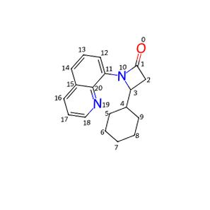 O=C1CC(C2CCCCC2)N1c1cccc2cccnc12